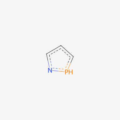 c1cn[pH]c1